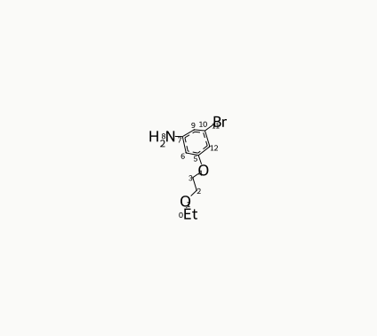 CCOCCOc1cc(N)cc(Br)c1